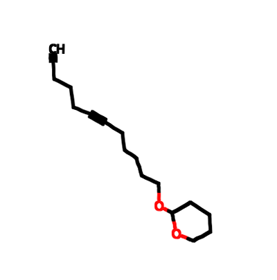 C#CCCCC#CCCCCCOC1CCCCO1